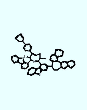 CCC1/C(c2ccc(C3C=CC=CC3)cc2)=C/CC(C)/C(c2cc(C3CCc4cc5ccccc5cc4-c4c3ccc3ccccc43)cc3sc4ccccc4c23)=N\C1c1cccc2c1oc1ccccc12